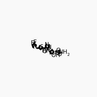 NS(=O)(=O)OC[C@H]1CC(Nc2ncncc2C(=O)c2cc(CN3CCC(F)(F)C3)cs2)=C[C@@H]1O